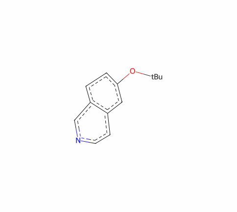 CC(C)(C)Oc1ccc2cnccc2c1